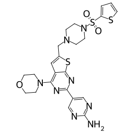 Nc1ncc(-c2nc(N3CCOCC3)c3cc(CN4CCN(S(=O)(=O)c5cccs5)CC4)sc3n2)cn1